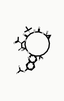 CC(=O)[C@@H]1[C@H](C)[C@@H]2CN1C(=O)[C@H](C(C)(C)C)NC(=O)O[C@@H]1C=C1CCCCC(F)(F)c1cc3ccc(OC(F)F)cc3nc1O2